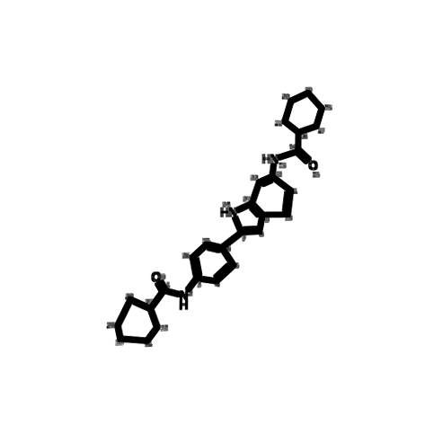 O=C(Nc1ccc(-c2cc3ccc(NC(=O)C4CCCCC4)cc3[nH]2)cc1)C1CCCCC1